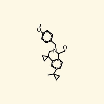 COc1ccc(CN2CC3(CC3)c3cc(C4(C)CC4)ccc3C2C=O)cc1